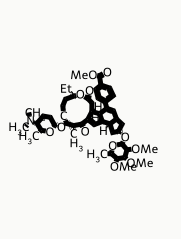 CC[C@H]1CCC[C@H](O[C@H]2CC[C@H](N(C)C)C(C)O2)[C@@H](C)C(=O)C2=C[C@@H]3C(C(c4ccc(C(=O)OC)cc4)=CC4C[C@@H](OC5OC(C)C(OC)C(OC)C5OC)C[C@H]43)[C@@H]2CC(=O)O1